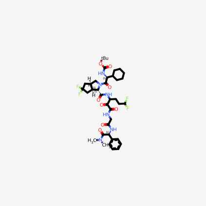 CN(C)C(=O)[C@@H](NC(=O)CNC(=O)C(=O)C(CCC(F)F)NC(=O)[C@@H]1[C@H]2CC(F)(F)C[C@H]2CN1C(=O)[C@@H](NC(=O)OC(C)(C)C)C1CCCCC1)c1ccccc1